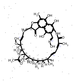 CO[C@H]1/C=C/O[C@@]2(C)Oc3c(C)c(O)c4c(O)c(c(/C=N/O)c(O)c4c3C2=O)NC(=O)/C(C)=C\C=C\[C@H](C)[C@H](O)[C@@H](C)[C@@H](O)[C@@H](C)[C@H](OC(C)=O)[C@@H]1C